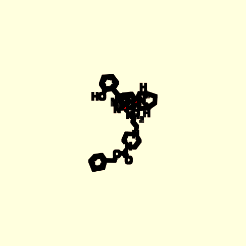 Nc1nnc(-c2ccccc2O)cc1N1C[C@H]2CC[C@@H](C1)N2c1ccccc1OCCN1CCN(C(=O)OCc2ccccc2)CC1